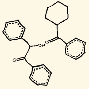 O=C(c1ccccc1)C(O)c1ccccc1.O=C(c1ccccc1)C1CCCCC1